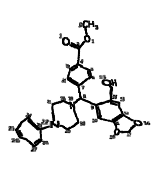 COC(=O)c1ccc(C(c2cc3c(cc2O)OCO3)N2CCN(c3ccccc3)CC2)cc1